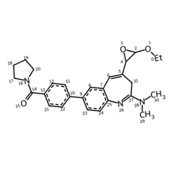 CCOC1OC1C1=Cc2cc(-c3ccc(C(=O)N4CCCC4)cc3)ccc2N=C(N(C)C)C1